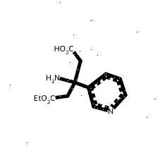 CCOC(=O)CC(N)(CC(=O)O)c1cccnc1